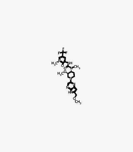 COCc1cc2nc(N3CC[C@@H](N(C)C(=O)Nc4cc(C(F)(F)F)cn(C)c4=O)[C@H](OC)C3)cnc2[nH]1